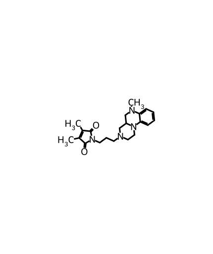 CC1=C(C)C(=O)N(CCCN2CCN3c4ccccc4N(C)CC3C2)C1=O